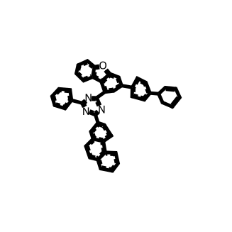 C1=CCC(c2ccc(-c3cc(-c4nc(-c5ccccc5)nc(-c5ccc6c(ccc7ccccc76)c5)n4)c4c(c3)oc3ccccc34)cc2)C=C1